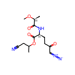 CO[C@@H](C)C(=O)N[C@@H](CCC(=O)C=[N+]=[N-])C(=O)OC(C)CC#N